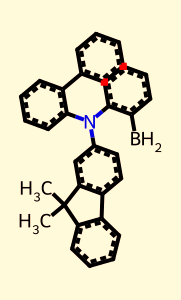 Bc1ccccc1N(c1ccc2c(c1)C(C)(C)c1ccccc1-2)c1ccccc1-c1ccccc1